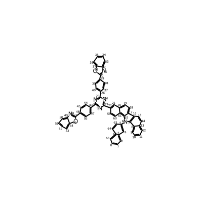 c1ccc2cc(-n3c4c5ccccc5ccc4c4ccc5cc(-c6nc(-c7ccc(-c8nc9ccccc9o8)cc7)nc(-c7ccc(-c8nc9ccccc9o8)cc7)n6)ccc5c43)ccc2c1